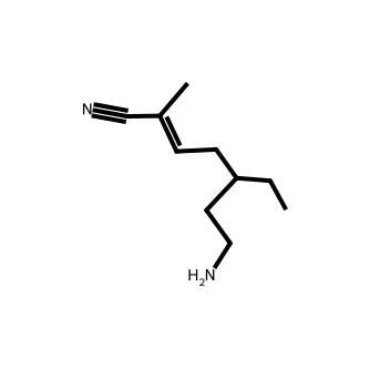 CCC(C/C=C(\C)C#N)CCN